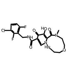 CN1CCOCCNn2cc(C(=O)NCc3c(F)ccc(Cl)c3F)c(=O)c(O)c2C1=O